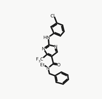 CCN(Cc1ccccc1)C(=O)c1cnc(Nc2cccc(Cl)c2)nc1C(F)(F)F